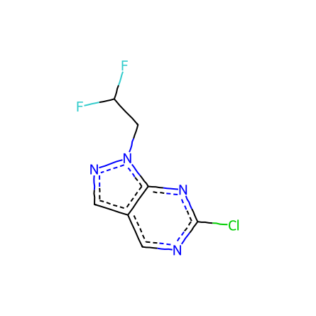 FC(F)Cn1ncc2cnc(Cl)nc21